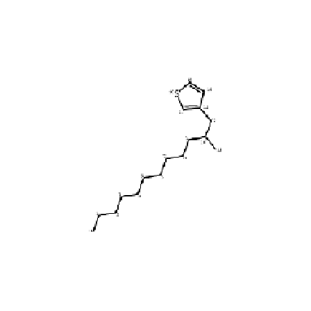 CCCCCCCCCCC(C)Cc1ccsc1